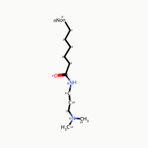 CCCCCCCCCCCCCCC(=O)NCCCN(C)C